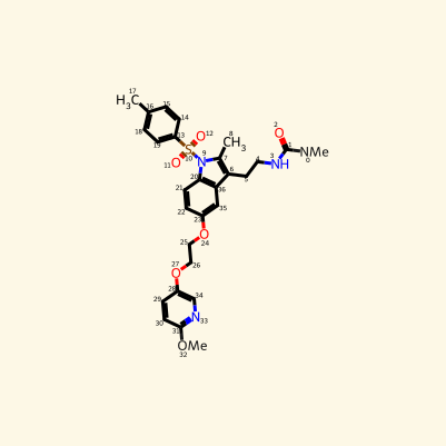 CNC(=O)NCCc1c(C)n(S(=O)(=O)c2ccc(C)cc2)c2ccc(OCCOc3ccc(OC)nc3)cc12